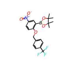 CC1(C)OB(c2cc([N+](=O)[O-])ccc2OCc2ccc(C(F)(F)F)cc2)OC1(C)C